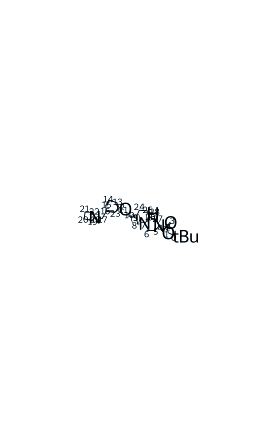 CC(C)(C)OC(=O)N1CCN2C[C@@H](COc3cccc(CN4CCCC4)c3)CC[C@H]2C1